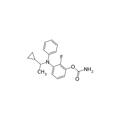 CC(C1CC1)N(c1ccccc1)c1cccc(OC(N)=O)c1F